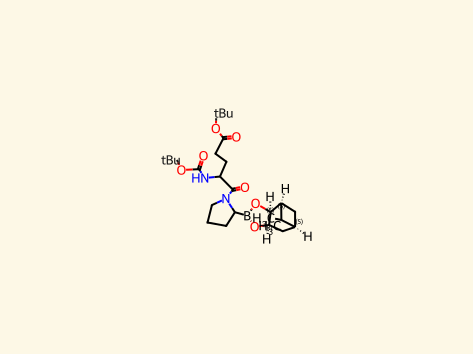 CC(C)(C)OC(=O)CCC(NC(=O)OC(C)(C)C)C(=O)N1CCCC1B1O[C@H]2[C@H]3C[C@@H](C[C@H]2O1)C3(C)C